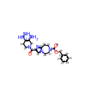 NNC1=C(N)CN(C(=O)c2cn3c(n2)CCN(C(=O)OCc2ccccc2)CC3)CC1